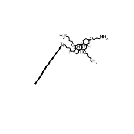 C#CC#CC#CC#CC#CC#CC#CC#CN(C)CCC[C@@H](C)[C@H]1CC[C@H]2[C@@H]3[C@H](OCCCN)C[C@@H]4C[C@H](OCCCN)CC[C@]4(C)[C@H]3C[C@H](OCCCN)[C@]12C